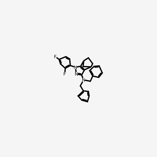 Fc1ccc(-n2nc(N(Cc3ccccc3)Cc3ccccc3)c3c2C2CCC3C2)c(F)c1